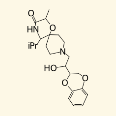 CC1OC2(CCN(CC(O)C3COc4ccccc4O3)CC2)C(C(C)C)NC1=O